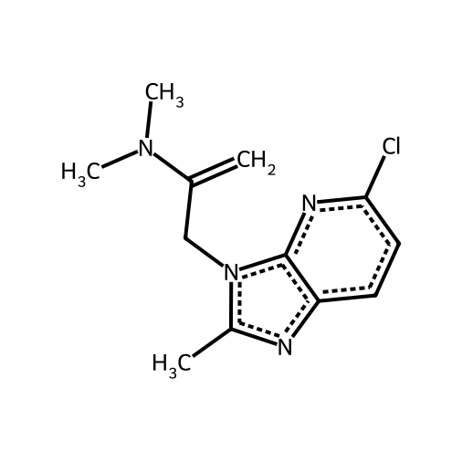 C=C(Cn1c(C)nc2ccc(Cl)nc21)N(C)C